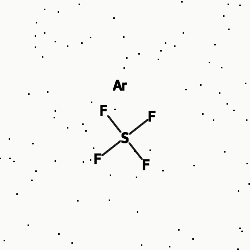 FS(F)(F)F.[Ar]